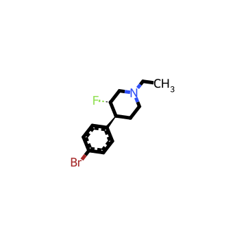 CCN1CC[C@@H](c2ccc(Br)cc2)[C@H](F)C1